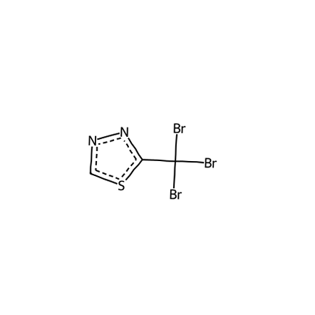 BrC(Br)(Br)c1nncs1